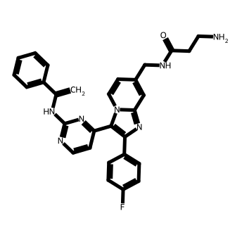 C=C(Nc1nccc(-c2c(-c3ccc(F)cc3)nc3cc(CNC(=O)CCN)ccn23)n1)c1ccccc1